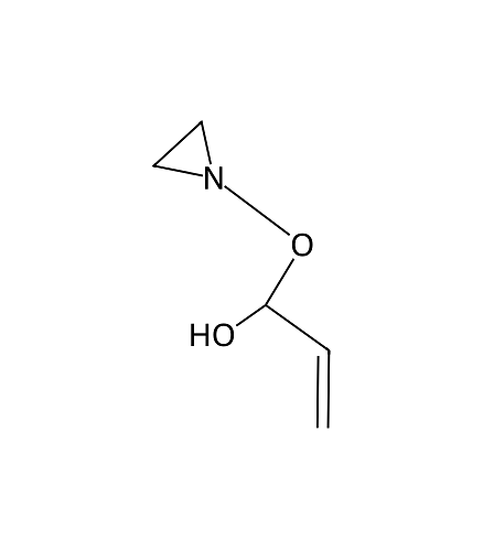 C=CC(O)ON1CC1